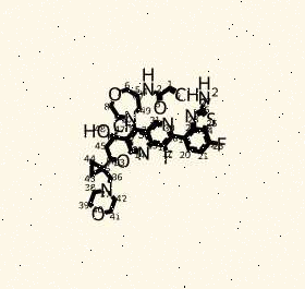 C=CC(=O)N[C@H]1COCCN(c2c3c(nc4c(F)c(-c5ccc(F)c6sc(N)nc56)ncc24)O[C@@H](C2(CN4CCOCC4)CC2)C[C@@]3(C)O)C1